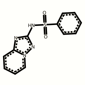 O=S(=O)(Nc1nc2ccccn2n1)c1ccccc1